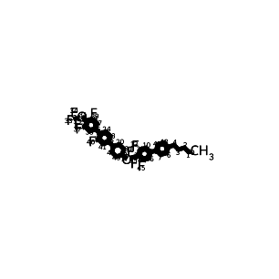 CCCCCc1ccc(-c2cc(F)c(C(F)(F)OC3CCC(c4ccc(-c5cc(F)c(OC(F)(F)F)c(F)c5)c(F)c4)CC3)c(F)c2)cc1